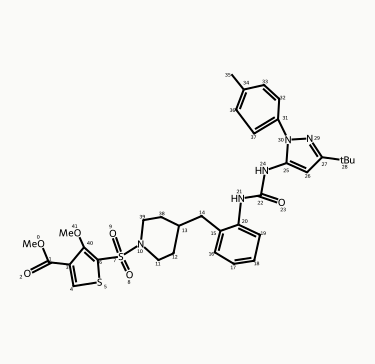 COC(=O)c1csc(S(=O)(=O)N2CCC(Cc3ccccc3NC(=O)Nc3cc(C(C)(C)C)nn3-c3ccc(C)cc3)CC2)c1OC